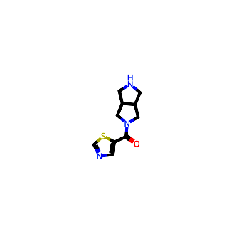 O=C(c1cncs1)N1CC2CNCC2C1